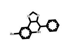 CCC(C)c1ccc2c(c1)C1OCOC1C(c1ccccc1)N2